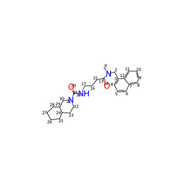 CN(Cc1cccc2ccccc12)C(=O)CCCNC(=O)N1CCC2CCCCC2C1